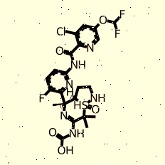 CC1(C)C(NC(=O)O)=N[C@](C)(c2nc(NC(=O)c3ncc(OC(F)F)cc3Cl)ccc2F)[C@@H]2CCN[SH]21=O